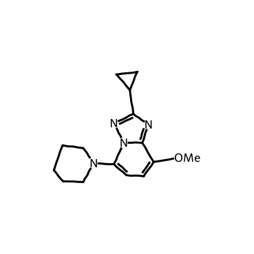 COc1ccc(N2CCCCC2)n2nc(C3CC3)nc12